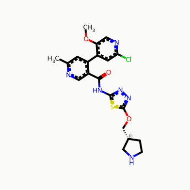 COc1cnc(Cl)cc1-c1cc(C)ncc1C(=O)Nc1nnc(OC[C@@H]2CCNC2)s1